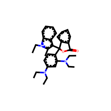 CCN(CC)c1ccc(C2(c3c(C)n(CC)c4ccccc34)OC(=O)c3ccccc32)c(N(CC)CC)c1